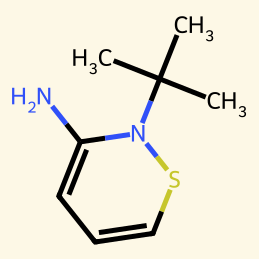 CC(C)(C)N1SC=CC=C1N